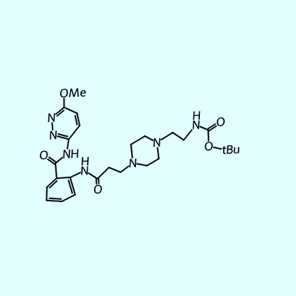 COc1ccc(NC(=O)c2ccccc2NC(=O)CCN2CCN(CCNC(=O)OC(C)(C)C)CC2)nn1